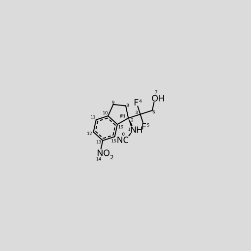 N#CN[C@]1(C(F)(F)CO)CCc2ccc([N+](=O)[O-])cc21